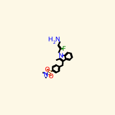 Cc1c(Cc2ccc(S(=O)(=O)N(C)C)cc2)c2ccccc2n1CC(F)=CCN